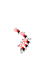 [C].[C]=O.[C]=O.[C]=O.[C]=O.[C]=O.[Fe]